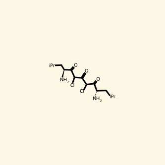 CC(C)C[C@H](N)C(=O)C(Cl)C(=O)C(Cl)C(=O)[C@@H](N)CC(C)C